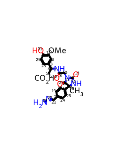 COc1cc(C(CC(=O)O)NC(=O)CN2C(=O)NC(C)(c3ccc(C=NN)cc3)C2=O)ccc1O